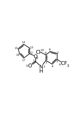 O=C(Nc1cc(C(F)(F)F)ccc1Cl)Oc1ccccc1